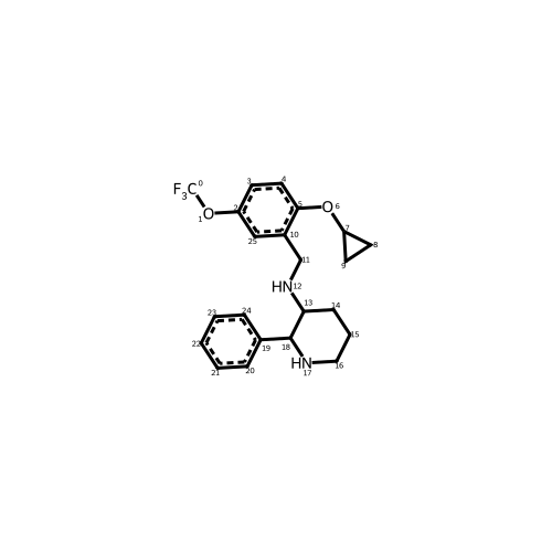 FC(F)(F)Oc1ccc(OC2CC2)c(CNC2CCCNC2c2ccccc2)c1